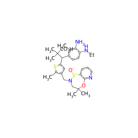 CCNc1ccc(C(c2cc(CN3CC(C)(C)Oc4ncccc4[S+]3[O-])c(C)s2)C(C)(C)C(=O)O)c(C)c1N